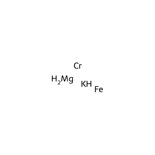 [Cr].[Fe].[KH].[MgH2]